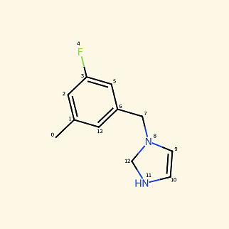 Cc1cc(F)cc(CN2C=CNC2)c1